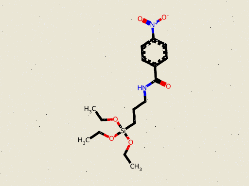 CCO[Si](CCCNC(=O)c1ccc([N+](=O)[O-])cc1)(OCC)OCC